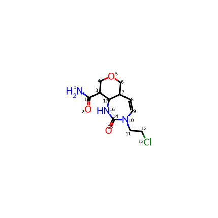 NC(=O)C1COCC2C=CN(CCCl)C(=O)NC21